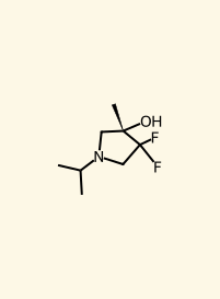 CC(C)N1CC(F)(F)[C@@](C)(O)C1